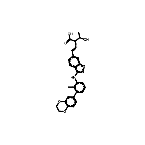 Cc1c(Nc2nsc3cc(C=NC(C(=O)O)C(C)O)ccc23)cccc1-c1ccc2c(c1)OCCO2